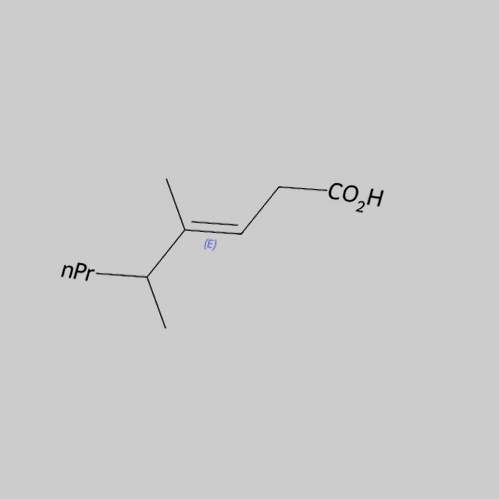 CCCC(C)/C(C)=C/CC(=O)O